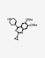 COc1cc2nc(C3CC3)nc(C3=CCNCC3)c2cc1OC